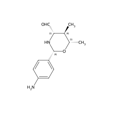 C[C@H]1[C@H](C)O[C@H](c2ccc(N)cc2)N[C@@H]1C=O